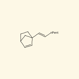 CCCCCC=CC12C=CC(CC1)C2